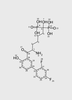 NC(CCCCC(O)(P(=O)(O)O)P(=O)(O)O)C(=O)c1cc(-c2ccc(F)cc2F)ccc1O